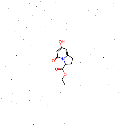 CCOC(=O)C1CCc2cc(O)cc(=O)n21